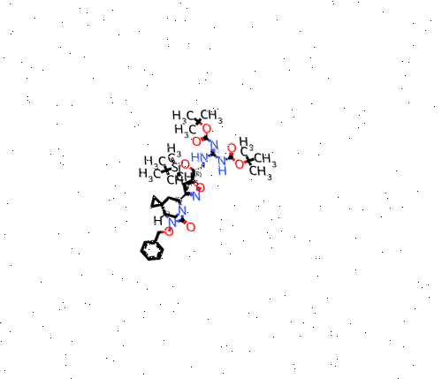 CC(C)(C)OC(=O)/N=C(\NC[C@@H](O[Si](C)(C)C(C)(C)C)c1cc([C@@H]2CC3(CC3)[C@H]3CN2C(=O)N3OCc2ccccc2)no1)NC(=O)OC(C)(C)C